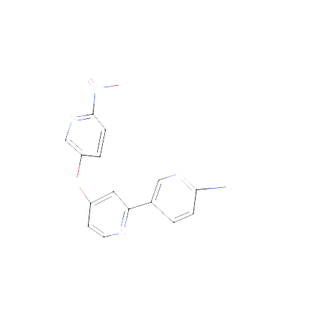 Nc1ccc(-c2cc(Oc3ccc([N+](=O)[O-])nc3)ccn2)cn1